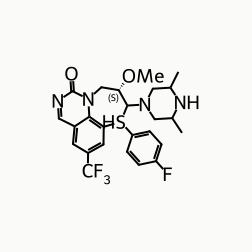 CO[C@H]1Cn2c(=O)ncc3cc(C(F)(F)F)cc(c32)[SH](c2ccc(F)cc2)C1N1CC(C)NC(C)C1